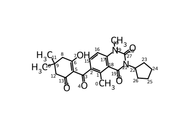 Cc1c(C(=O)C2=C(O)CC(C)(C)CC2=O)ccc2c1c(=O)n(C1CCCC1)c(=O)n2C